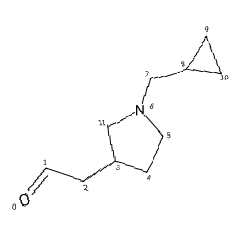 O=CCC1CCN(CC2CC2)C1